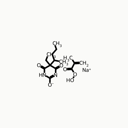 C=C(C)C(=O)OO.CCCC(C)C1(CC)C(=O)N=C([O-])NC1=O.[Na+]